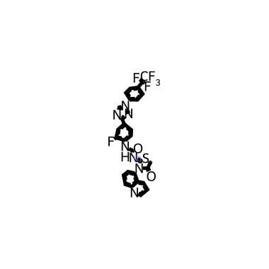 O=C(/N=C1\SCC(=O)N1c1cccc2ncccc12)Nc1ccc(-c2ncn(-c3ccc(C(F)(F)C(F)(F)F)cc3)n2)cc1F